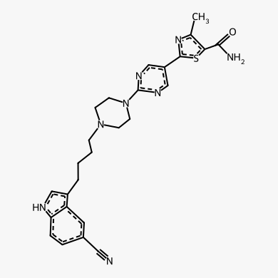 Cc1nc(-c2cnc(N3CCN(CCCCc4c[nH]c5ccc(C#N)cc45)CC3)nc2)sc1C(N)=O